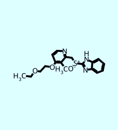 CCOCCOc1ccnc(C[S+]([O-])c2nc3ccccc3[nH]2)c1C